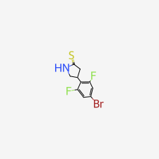 Fc1cc(Br)cc(F)c1C1CNC(=S)C1